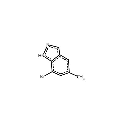 Cc1cc(Br)c2[nH]ncc2c1